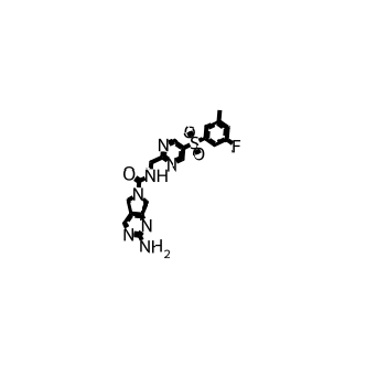 Cc1cc(F)cc(S(=O)(=O)c2cnc(CNC(=O)N3Cc4cnc(N)nc4C3)nc2)c1